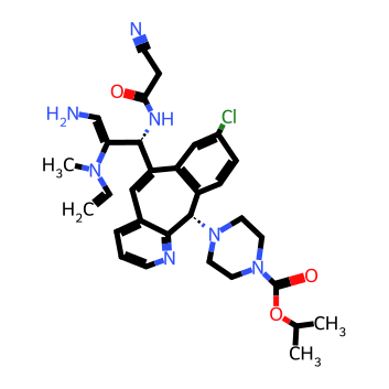 C=CN(C)/C(=C\N)[C@H](NC(=O)CC#N)C1=Cc2cccnc2[C@@H](N2CCN(C(=O)OC(C)C)CC2)c2ccc(Cl)cc21